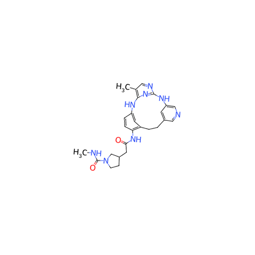 CNC(=O)N1CCC(CC(=O)Nc2ccc3cc2CCc2cncc(c2)Nc2ncc(C)c(n2)N3)C1